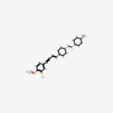 CC[C@H]1CC[C@H](CC[C@H]2CC[C@H](C=CC#Cc3ccc(OC(F)(F)F)c(F)c3)CC2)CC1